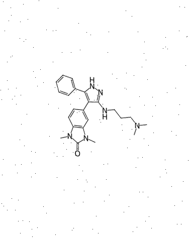 CN(C)CCCNc1n[nH]c(-c2ccccc2)c1-c1ccc2c(c1)n(C)c(=O)n2C